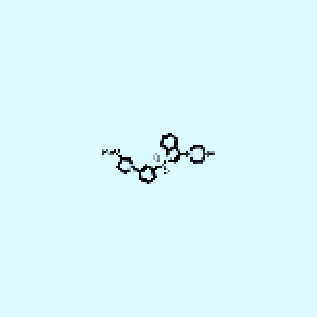 COC1CCN(c2cccc(S(=O)(=O)n3cc(N4CCN(C)CC4)c4ccccc43)c2)C1